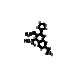 COc1ccc2c(c1)N=C(N1CCSC1)N(OC)C2N.Cl